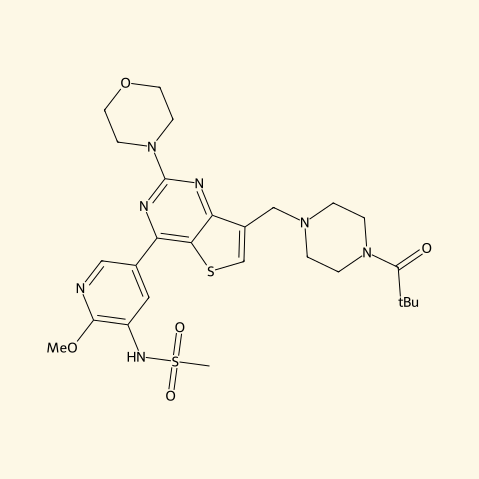 COc1ncc(-c2nc(N3CCOCC3)nc3c(CN4CCN(C(=O)C(C)(C)C)CC4)csc23)cc1NS(C)(=O)=O